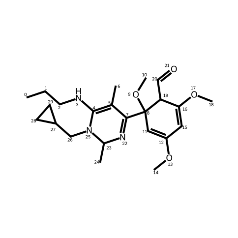 CCCNC1=C(C)C(C2(OC)C=C(OC)C=C(OC)C2C=O)=NC(C)N1CC1CC1